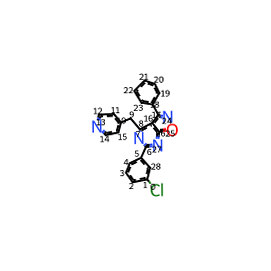 Clc1cccc(-c2nc(Cc3ccncc3)c3c(-c4ccccc4)noc3n2)c1